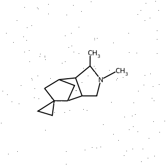 CC1C2C3CC(C2CN1C)C1(CC1)C3